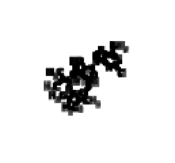 CC(C)[SiH]1O[C@H]2[C@@H](O)[C@H](n3cnc4c(N)nc(Cl)nc43)O[C@@H]2CO[Si](C(C)C)(C(C)C)O1